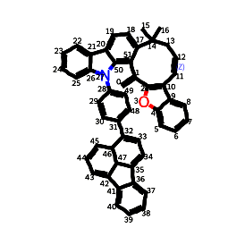 C=C1c2oc3ccccc3c2/C=C\CC(C)(C)c2ccc3c4ccccc4n(-c4ccc(C5=CC=C6c7ccccc7C7=CC=CC5C76)cc4)c3c21